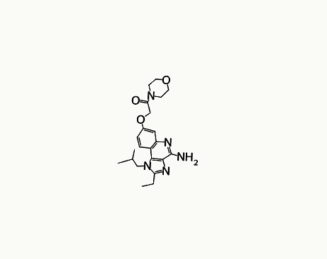 CCc1nc2c(N)nc3cc(OCC(=O)N4CCOCC4)ccc3c2n1CC(C)C